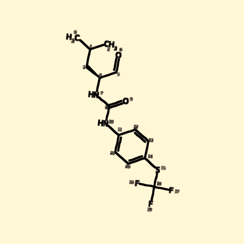 CC(C)C[C@@H](C=O)NC(=O)Nc1ccc(SC(F)(F)F)cc1